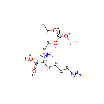 CCO[SiH](OCC)OCC.NCCCCC(N)C(=O)O